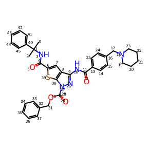 CC(C)(NC(=O)c1cc2c(NC(=O)c3ccc(CN4CCCCC4)cc3)nn(C(=O)OCc3ccccc3)c2s1)c1ccccc1